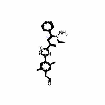 C=C(/C=C(/c1ccccc1)N(N)CC)c1nc(-c2cc(C)c(CC=O)cc2C)no1